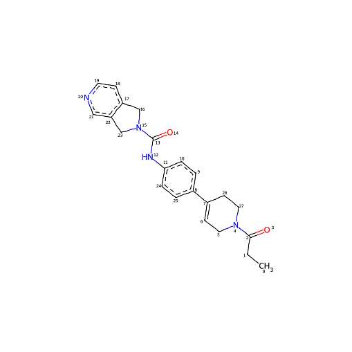 CCC(=O)N1CC=C(c2ccc(NC(=O)N3Cc4ccncc4C3)cc2)CC1